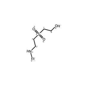 CCNCCS(=O)(=O)CCO